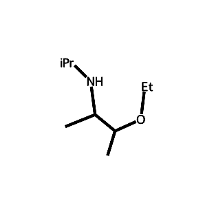 CCOC(C)C(C)NC(C)C